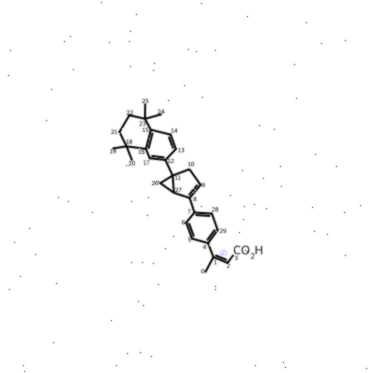 C/C(=C/C(=O)O)c1ccc(C2=CCC3(c4ccc5c(c4)C(C)(C)CCC5(C)C)CC23)cc1